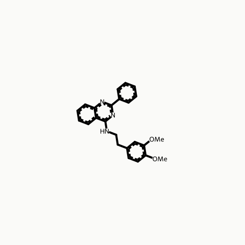 COc1ccc(CCNc2nc(-c3ccccc3)nc3ccccc23)cc1OC